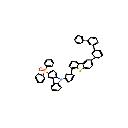 O=P(c1ccccc1)(c1ccccc1)c1ccc2c(c1)c1ccccc1n2-c1cccc(-c2cccc3c2sc2ccc(-c4cccc(-c5cccc(-c6ccccc6)c5)c4)cc23)c1